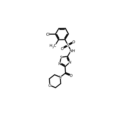 Cc1c(Cl)cccc1S(=O)(=O)Nc1nc(C(=O)N2CCOCC2)ns1